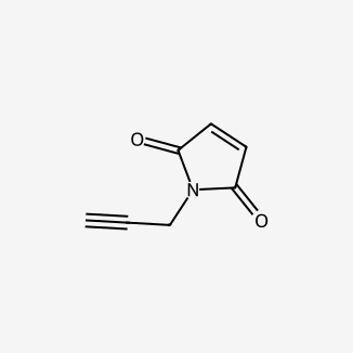 C#CCN1C(=O)C=CC1=O